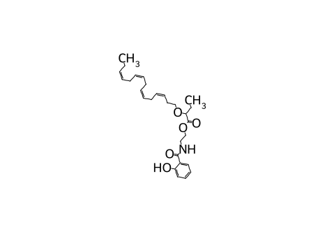 CC/C=C\C/C=C\C/C=C\C/C=C\CCOC(CC)C(=O)OCCNC(=O)c1ccccc1O